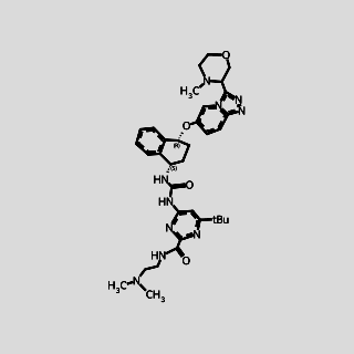 CN(C)CCNC(=O)c1nc(NC(=O)N[C@H]2CC[C@@H](Oc3ccc4nnc(C5COCCN5C)n4c3)c3ccccc32)cc(C(C)(C)C)n1